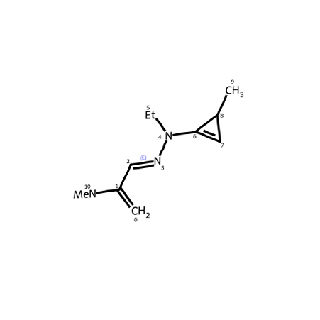 C=C(/C=N/N(CC)C1=CC1C)NC